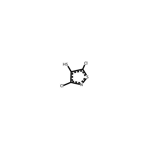 Sc1c(Cl)nsc1Cl